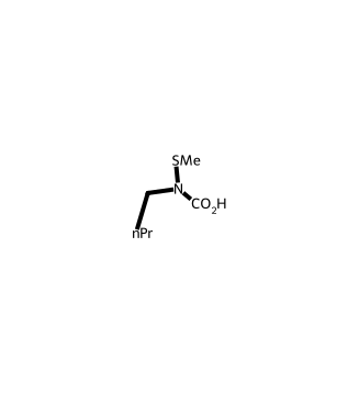 CCCCN(SC)C(=O)O